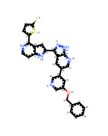 Fc1ccc(-c2nccc3[nH]c(-c4n[nH]c5ncc(-c6cncc(OCc7ccccc7)c6)cc45)cc23)s1